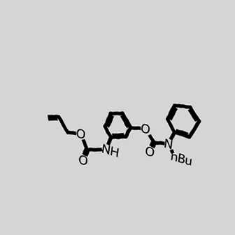 C=CCOC(=O)Nc1cccc(OC(=O)N(CCCC)c2ccccc2)c1